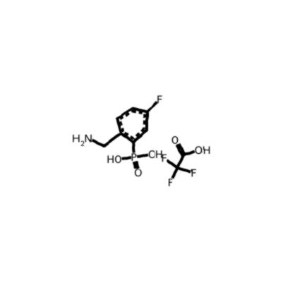 NCc1ccc(F)cc1P(=O)(O)O.O=C(O)C(F)(F)F